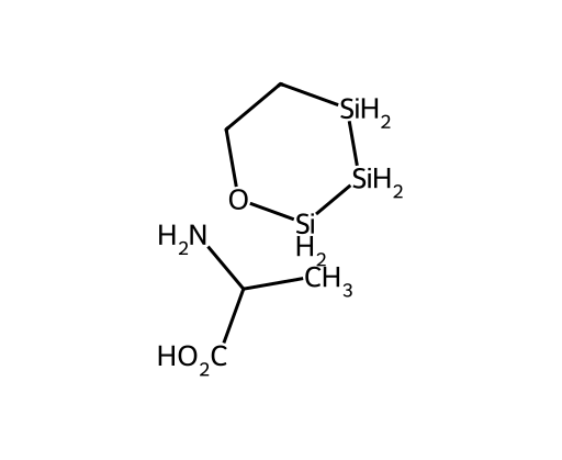 C1C[SiH2][SiH2][SiH2]O1.CC(N)C(=O)O